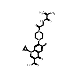 C=C(C)C(=O)NCC(=O)N1CCN(c2cc3c(cc2F)c(=O)c(C(=O)O)cn3C2CC2)CC1